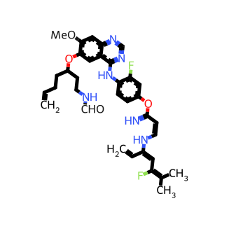 C=CCCC(CCNC=O)Oc1cc2c(Nc3ccc(OC(=N)/C=C\N/C(C=C)=C/C(F)=C(C)C)cc3F)ncnc2cc1OC